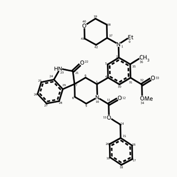 CCN(c1cc(C2CC3(CCN2C(=O)OCc2ccccc2)C(=O)Nc2ccccc23)cc(C(=O)OC)c1C)C1CCOCC1